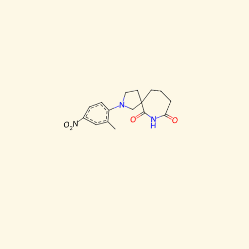 Cc1cc([N+](=O)[O-])ccc1N1CCC2(CCCC(=O)NC2=O)C1